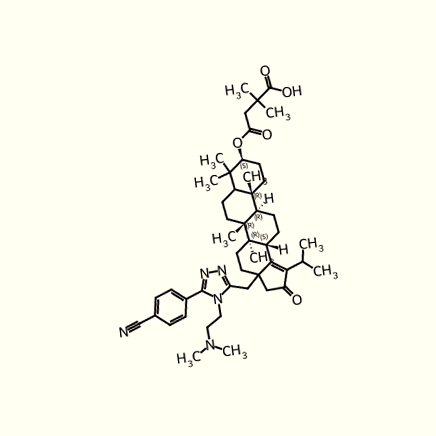 CC(C)C1=C2[C@H]3CC[C@@H]4[C@@]5(C)CC[C@H](OC(=O)CC(C)(C)C(=O)O)C(C)(C)C5CC[C@@]4(C)[C@]3(C)CCC2(Cc2nnc(-c3ccc(C#N)cc3)n2CCN(C)C)CC1=O